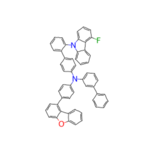 Fc1cccc2c1c1ccccc1n2-c1ccccc1-c1ccc(N(c2ccc(-c3cccc4oc5ccccc5c34)cc2)c2cccc(-c3ccccc3)c2)cc1